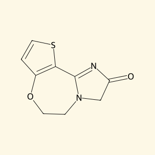 O=C1CN2CCOc3ccsc3C2=N1